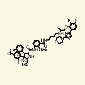 COc1c(NC(=O)[C@@H]2N[C@@H](CC(C)(C)C)[C@](C#N)(c3ccc(Cl)cc3F)[C@H]2c2cccc(Cl)c2F)cccc1C(=O)NCCCCNC(=O)COc1c(-c2csc(N3CCOCC3)n2)ccc(F)c1F